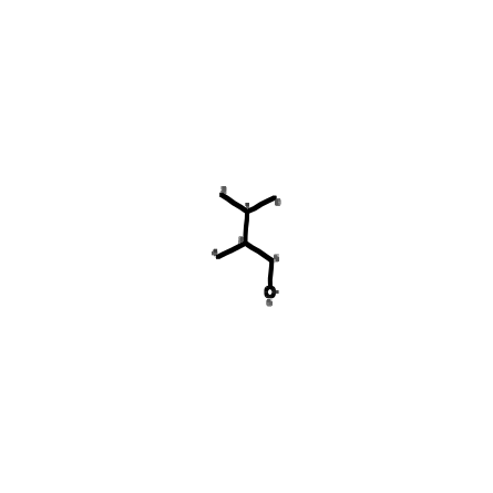 CC(C)C(C)C[O]